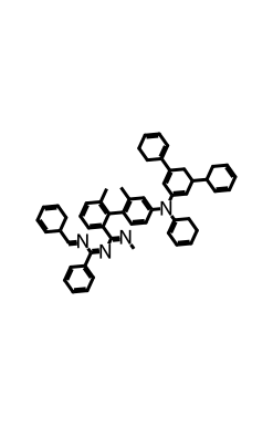 C\N=C(/N=C(\N=C\C1C=CC=CC1)c1ccccc1)c1cccc(C)c1-c1ccc(N(C2=CC(C3C=CC=CC3)CC(C3=CC=CCC3)=C2)C2=CC=CCC2)cc1C